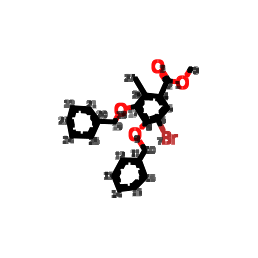 COC(=O)c1cc(Br)c(OCc2ccccc2)c(OCc2ccccc2)c1C